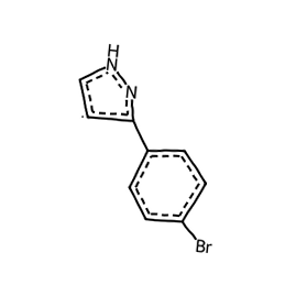 Brc1ccc(-c2[c]c[nH]n2)cc1